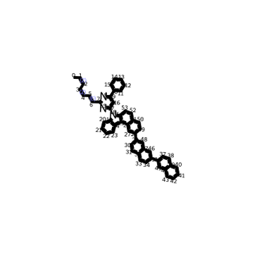 C\C=C/C=C\C=C\c1nc(-c2ccccc2)cc(-n2c3ccccc3c3c4cc(-c5ccc6ccc(-c7ccc8ccccc8c7)cc6c5)ccc4ccc32)n1